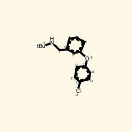 CC(C)(C)NCc1cccc(Oc2ccc(Cl)cc2)c1